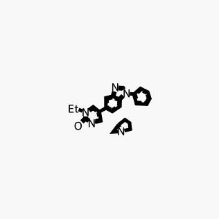 C1CC2CN2C1.CCn1cc(-c2ccc3c(c2)ncn3-c2ccccc2)cnc1=O